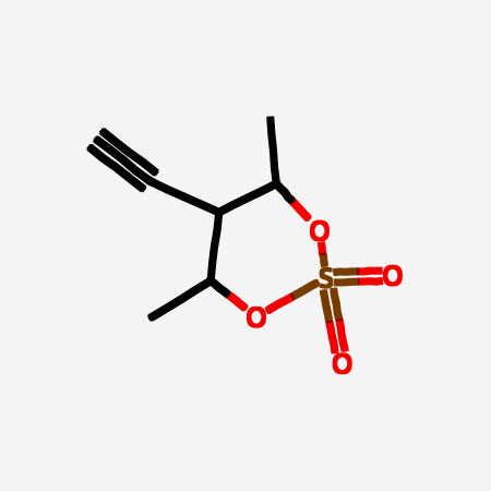 C#CC1C(C)OS(=O)(=O)OC1C